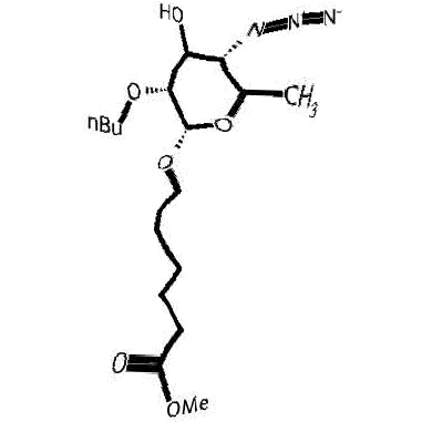 CCCCO[C@@H]1C(O)[C@H](N=[N+]=[N-])C(C)O[C@@H]1OCCCCCC(=O)OC